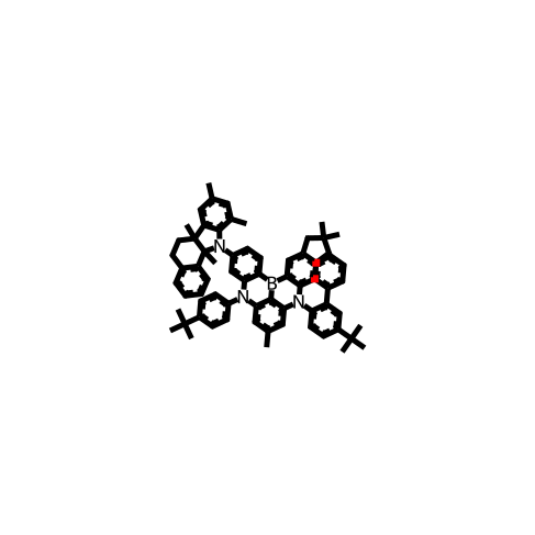 Cc1cc2c3c(c1)N(c1ccc(C(C)(C)C)cc1-c1ccccc1)c1cc4c(cc1B3c1ccc(N3c5c(C)cc(C)cc5C5(C)CCc6ccccc6C35C)cc1N2c1ccc(C(C)(C)C)cc1)CC(C)(C)C4